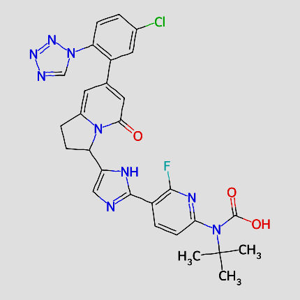 CC(C)(C)N(C(=O)O)c1ccc(-c2ncc(C3CCc4cc(-c5cc(Cl)ccc5-n5cnnn5)cc(=O)n43)[nH]2)c(F)n1